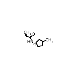 C=CC(=O)N[C@H]1CCC(C)C1